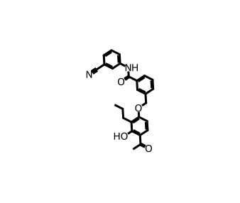 CCCc1c(OCc2cccc(C(=O)Nc3cccc(C#N)c3)c2)ccc(C(C)=O)c1O